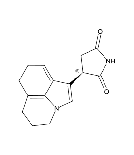 O=C1C[C@H](c2cn3c4c2=CCCC=4CCC3)C(=O)N1